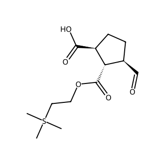 CS(C)(C)CCOC(=O)[C@H]1[C@H](C=O)CC[C@@H]1C(=O)O